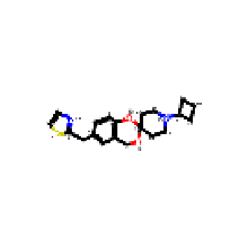 c1csc(Cc2ccc3c(c2)COC2(CCN(C4CCC4)CC2)O3)n1